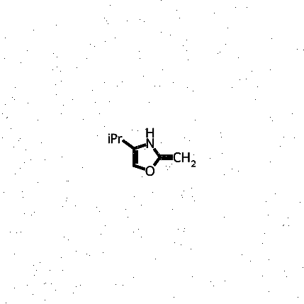 C=C1NC(C(C)C)=CO1